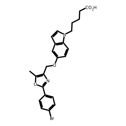 Cc1oc(-c2ccc(Br)cc2)nc1COc1ccc2c(ccn2CCCCC(=O)O)c1